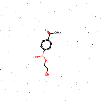 COC(=O)c1ccc(B(O)OCCO)cc1